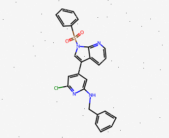 O=S(=O)(c1ccccc1)n1cc(-c2cc(Cl)nc(NCc3ccccc3)c2)c2cccnc21